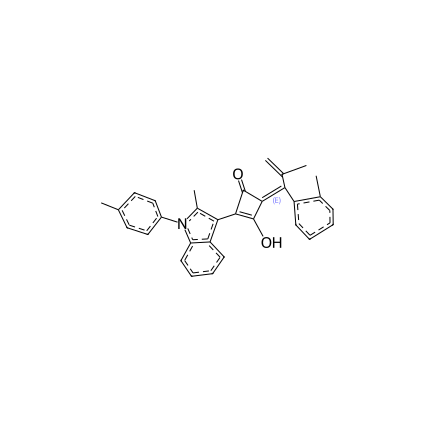 C=C(C)/C(=C1\C(=O)C(c2c(C)n(-c3ccc(C)cc3)c3ccccc23)=C1O)c1ccccc1C